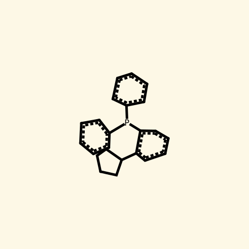 c1ccc(P(c2ccccc2)c2ccccc2C2CCCC2)cc1